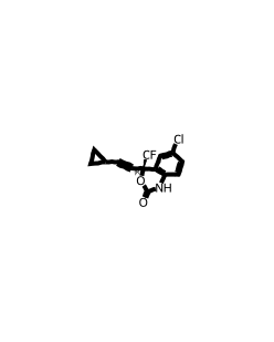 O=C1Nc2ccc(Cl)cc2[C@](C#CC2CC2)(C(F)(F)F)O1